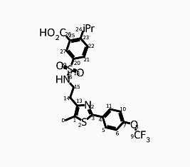 Cc1sc(-c2ccc(OC(F)(F)F)cc2)nc1CCNS(=O)(=O)c1ccc(C(C)C)c(C(=O)O)c1